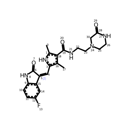 Cc1[nH]c(/C=C2\C(=O)Nc3ccc(F)cc32)c(C)c1C(=O)NCCN1CCNC(=O)C1